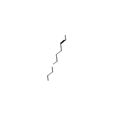 C/C=C/CCCS[CH]CC